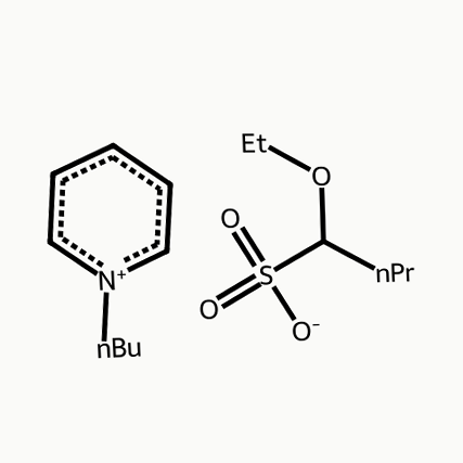 CCCC(OCC)S(=O)(=O)[O-].CCCC[n+]1ccccc1